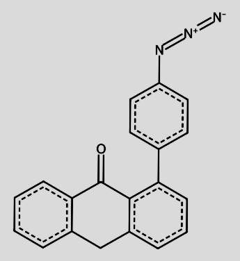 [N-]=[N+]=Nc1ccc(-c2cccc3c2C(=O)c2ccccc2C3)cc1